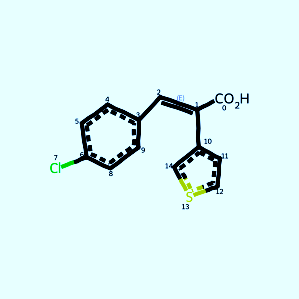 O=C(O)/C(=C/c1ccc(Cl)cc1)c1ccsc1